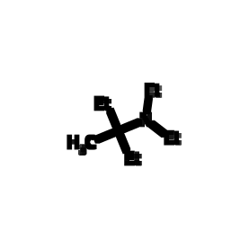 CCN(CC)C(C)(CC)CC